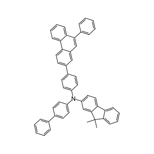 CC1(C)c2ccccc2-c2ccc(N(c3ccc(-c4ccccc4)cc3)c3ccc(-c4ccc5c(c4)cc(-c4ccccc4)c4ccccc45)cc3)cc21